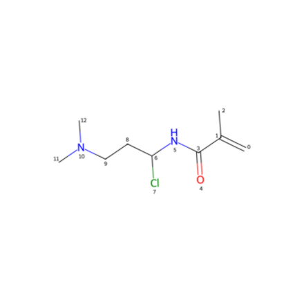 C=C(C)C(=O)NC(Cl)CCN(C)C